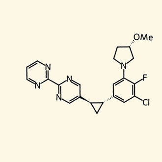 CO[C@H]1CCN(c2cc([C@@H]3C[C@H]3c3cnc(-c4ncccn4)nc3)cc(Cl)c2F)C1